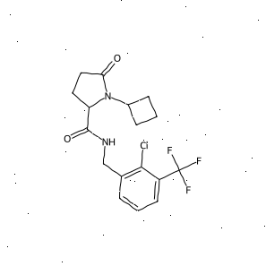 O=C(NCc1cccc(C(F)(F)F)c1Cl)C1CCC(=O)N1C1CCC1